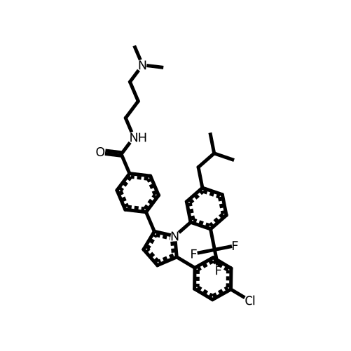 CC(C)Cc1ccc(C(F)(F)F)c(-n2c(-c3ccc(Cl)cc3)ccc2-c2ccc(C(=O)NCCCN(C)C)cc2)c1